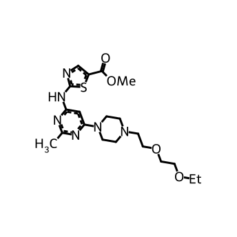 CCOCCOCCN1CCN(c2cc(Nc3ncc(C(=O)OC)s3)nc(C)n2)CC1